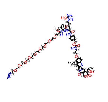 CCc1c2c(nc3ccc(OCCCNC(=O)OCc4ccc(NC(=O)[C@H](CCCCNC(N)O)NC(=O)[C@@H](NC(=O)CCOCCOCCOCCOCCOCCOCCOCCOCCOCCN=[N+]=[N-])C(C)C)cc4)cc13)-c1cc3c(c(=O)n1C2)COC(=O)[C@]3(O)CC